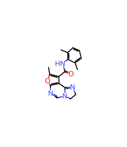 Cc1cccc(C)c1NC(=O)c1c(C)oc2c1C1=NCCN1C=N2